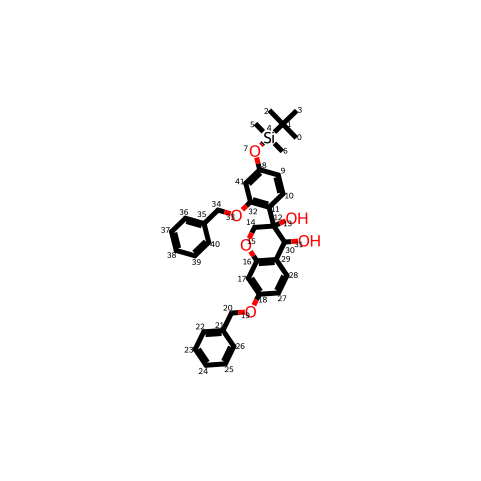 CC(C)(C)[Si](C)(C)Oc1ccc(C2(O)COc3cc(OCc4ccccc4)ccc3C2O)c(OCc2ccccc2)c1